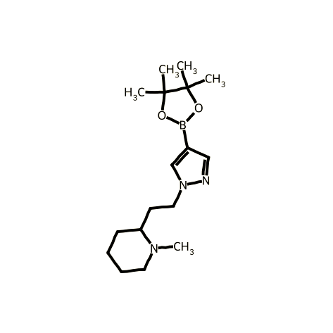 CN1CCCCC1CCn1cc(B2OC(C)(C)C(C)(C)O2)cn1